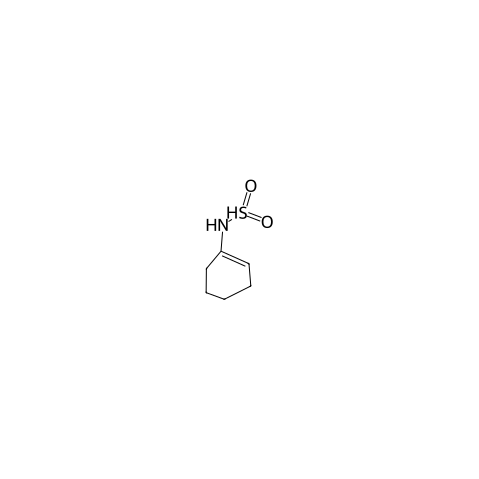 O=[SH](=O)NC1=CCCCC1